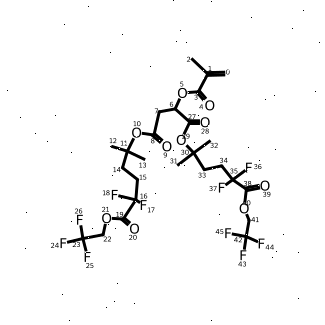 C=C(C)C(=O)OC(CC(=O)OC(C)(C)CCC(F)(F)C(=O)OCC(F)(F)F)C(=O)OC(C)(C)CCC(F)(F)C(=O)OCC(F)(F)F